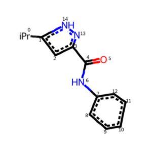 CC(C)c1cc(C(=O)Nc2ccccc2)n[nH]1